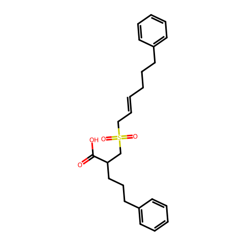 O=C(O)C(CCCc1ccccc1)CS(=O)(=O)CC=CCCCc1ccccc1